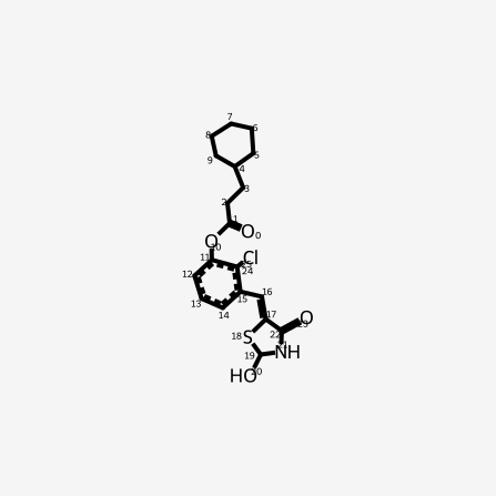 O=C(CCC1CCCCC1)Oc1cccc(/C=C2\SC(O)NC2=O)c1Cl